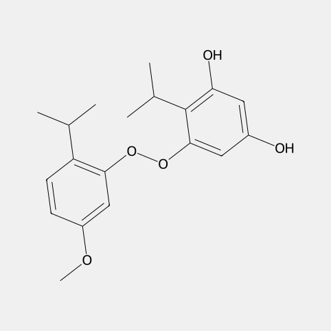 COc1ccc(C(C)C)c(OOc2cc(O)cc(O)c2C(C)C)c1